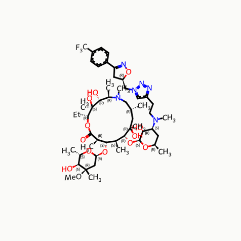 CC[C@H]1OC(=O)[C@H](C)[C@@H](O[C@H]2C[C@@](C)(OC)[C@@H](O)[C@H](C)O2)[C@H](C)[C@@H](O[C@@H]2O[C@H](C)C[C@H](N(C)CCc3cn(C[C@H]4CC(c5ccc(C(F)(F)F)cc5)=NO4)nn3)[C@H]2O)[C@](C)(O)C[C@@H](C)CN(C)[C@H](C)[C@@H](O)[C@]1(C)O